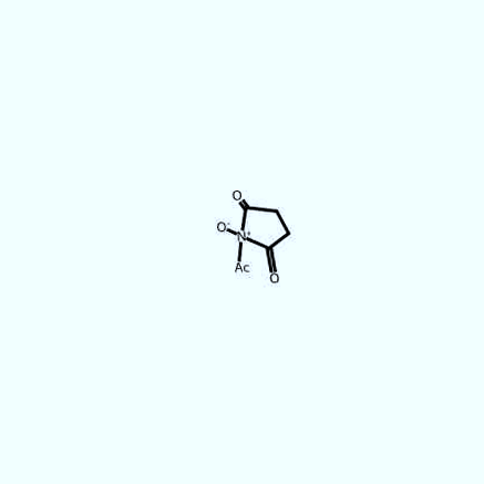 CC(=O)[N+]1([O-])C(=O)CCC1=O